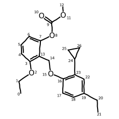 CCOc1cccc(OC(=O)OC)c1COc1ccc(CC)cc1C1CC1